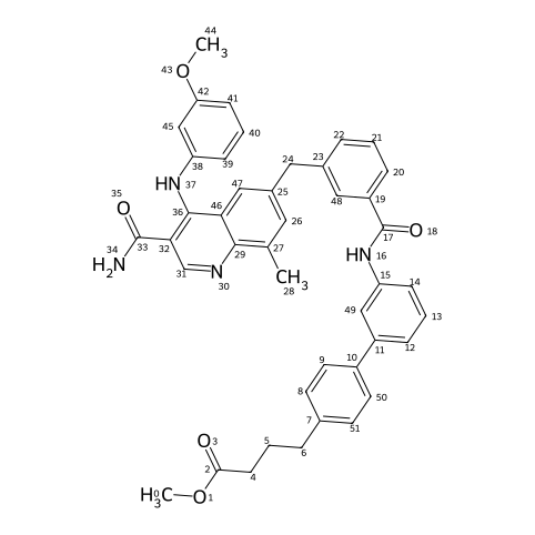 COC(=O)CCCc1ccc(-c2cccc(NC(=O)c3cccc(Cc4cc(C)c5ncc(C(N)=O)c(Nc6cccc(OC)c6)c5c4)c3)c2)cc1